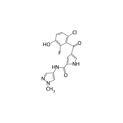 Cn1cc(NC(=O)c2cc(C(=O)c3c(Cl)ccc(O)c3F)c[nH]2)cn1